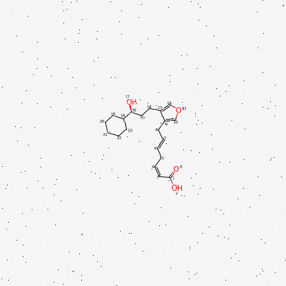 O=C(O)/C=C\CC=CCc1cocc1CC[C@H](O)C1CCCCC1